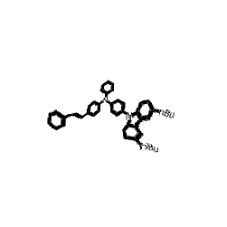 CCCCc1ccc2c(c1)c1cc(CCCC)ccc1n2-c1ccc(N(c2ccccc2)c2ccc(/C=C/c3ccccc3)cc2)cc1